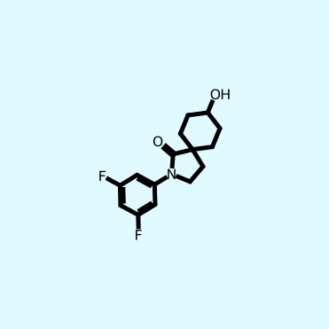 O=C1N(c2cc(F)cc(F)c2)CCC12CCC(O)CC2